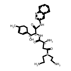 CC1=CC=C([C@@H](O)[C@H](NC(=O)[C@@H](N)CC(=O)N(CCN)CCN)C(=O)Nc2cc3ccccc3nn2)CC1